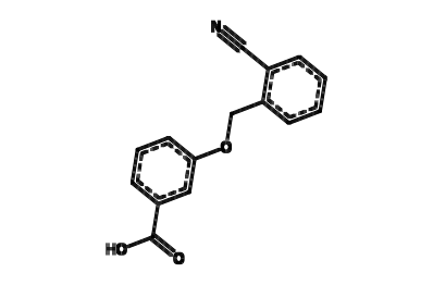 N#Cc1ccccc1COc1cccc(C(=O)O)c1